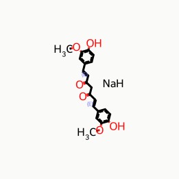 COc1cc(/C=C/C(=O)CC(=O)/C=C/c2ccc(O)c(OC)c2)ccc1O.[NaH]